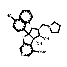 COc1cncc2c1[C@]1(O)[C@H](O)[C@H](CN3CCCC3)[C@@H](c3ccccc3)C1(c1ccc(C#N)cc1)O2